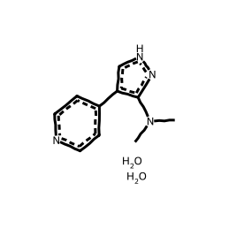 CN(C)c1n[nH]cc1-c1ccncc1.O.O